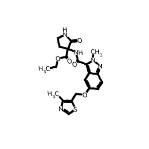 CCOC(=O)C1(NC(=O)c2c3cc(OCc4scnc4C)ccc3nn2C)CCNC1=O